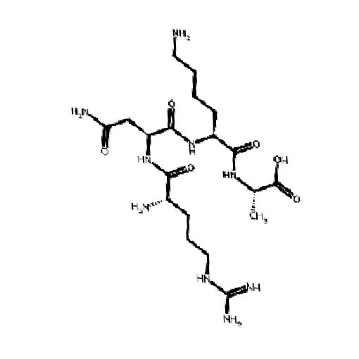 C[C@H](NC(=O)[C@H](CCCCN)NC(=O)[C@H](CC(N)=O)NC(=O)[C@@H](N)CCCNC(=N)N)C(=O)O